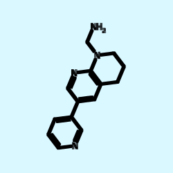 NCN1CCCc2cc(-c3cccnc3)cnc21